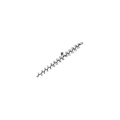 CCCCCCCCCCCCCCCCCC(F)CCCCCCCCCCC